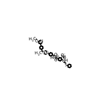 CCOc1cncc(-c2ccc(C(C)N3CCN(c4ccc(C(=O)NS(=O)(=O)c5ccc(NCCSc6ccccc6)c([N+](=O)[O-])c5)cc4)CC3)cc2)c1